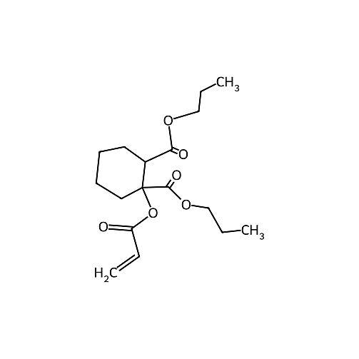 C=CC(=O)OC1(C(=O)OCCC)CCCCC1C(=O)OCCC